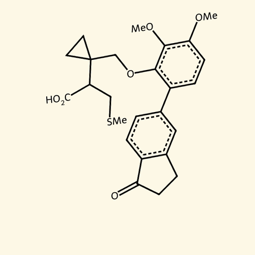 COc1ccc(-c2ccc3c(c2)CCC3=O)c(OCC2(C(CSC)C(=O)O)CC2)c1OC